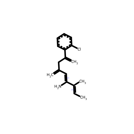 C=C(/C=C(N)/C(C)=C/C)CC(=C)c1ccccc1Cl